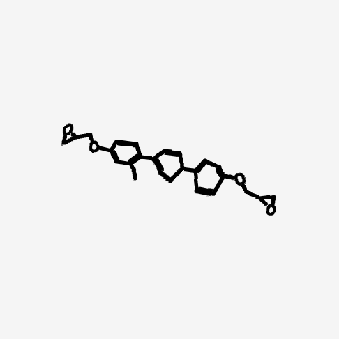 Cc1cc(OCC2CO2)ccc1C1=CCC(c2ccc(OCC3CO3)cc2)C=C1